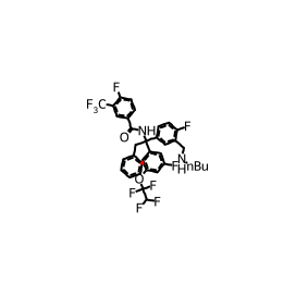 CCCCNCc1cc(C(Cc2ccccc2)(NC(=O)c2ccc(F)c(C(F)(F)F)c2)c2cc(F)cc(OC(F)(F)C(F)F)c2)ccc1F